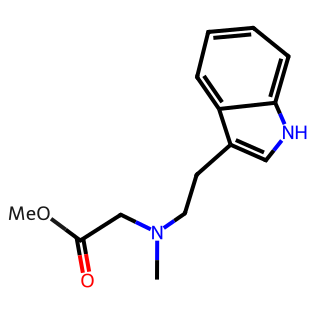 COC(=O)CN(C)CCc1c[nH]c2ccccc12